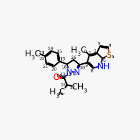 CC1=C2C=CSC2NC=C1C1=NN(C(=O)C(C)C)C(c2ccc(C)cc2)C1